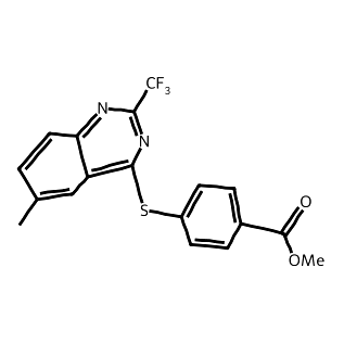 COC(=O)c1ccc(Sc2nc(C(F)(F)F)nc3ccc(C)cc23)cc1